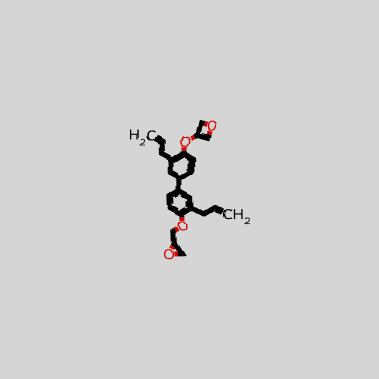 C=CCC1=C(OC2COC2)C=CC(c2ccc(OCC3CO3)c(CC=C)c2)C1